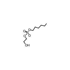 CCCCCCOS(=O)(=O)OCCO